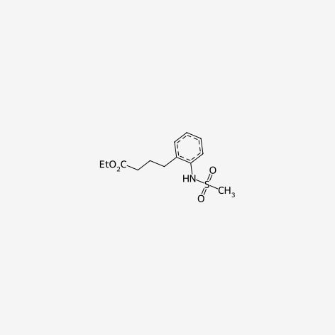 CCOC(=O)CCCc1ccccc1NS(C)(=O)=O